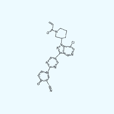 C=CC(=O)N1CCCC(n2nc(-c3cnc(-n4ccc(=O)c(C#N)c4)nc3)c3cncc(Cl)c32)C1